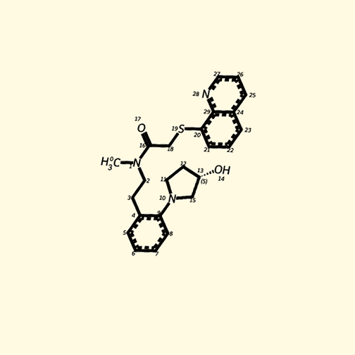 CN(CCc1ccccc1N1CC[C@H](O)C1)C(=O)CSc1cccc2cccnc12